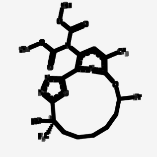 CC(C)C1CCCCC[C@](O)(C(F)(F)F)c2nnc(o2)-c2nc(c(C(F)(F)F)cc2N(C(=O)OC(C)(C)C)C(=O)OC(C)(C)C)O1